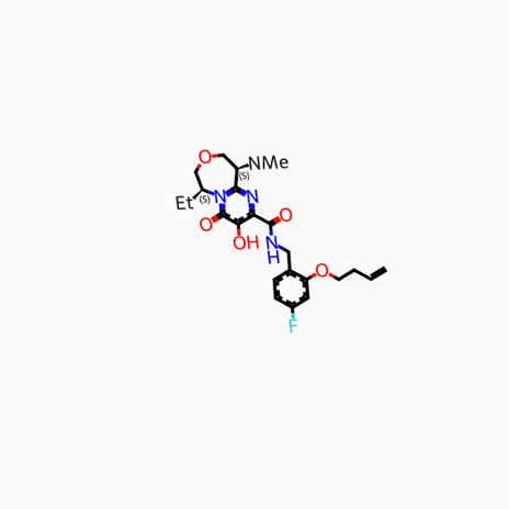 C=CCCOc1cc(F)ccc1CNC(=O)c1nc2n(c(=O)c1O)[C@@H](CC)COC[C@H]2NC